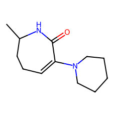 CC1CCC=C(N2CCCCC2)C(=O)N1